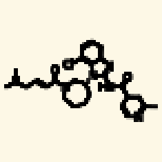 Cc1cc(C(=O)Nc2nc3cccc(Cl)c3n2[C@@H]2CCCCN(C(=O)C=CCN(C)C)C2)ccn1